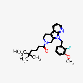 CC(C)(CCCC(=O)N1CCc2c(n(Cc3cccc(OC(F)(F)F)c3F)c3ncccc23)C1)C(=O)O